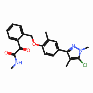 CNC(=O)C(=O)c1ccccc1COc1ccc(-c2nn(C)c(Cl)c2C)cc1C